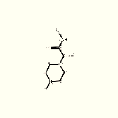 CC(C)NC(=O)[C@H](C)N1CCN(C)CC1